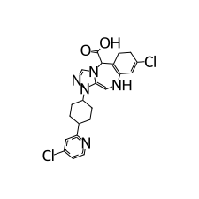 O=C(O)C1C2=C(C=C(Cl)CC2)NC=C2N1C=NN2C1CCC(c2cc(Cl)ccn2)CC1